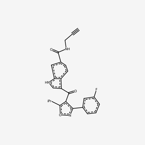 C#CCNC(=O)c1ccc2c(C(=O)c3c(-c4cccc(F)c4)noc3C(C)C)c[nH]c2c1